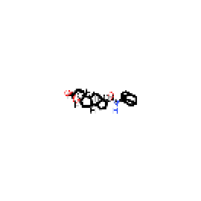 C[C@]12C=CC(=O)O[C@@H]1CC[C@@H]1[C@@H]2CC[C@]2(C)[C@@H](C(=O)NC3C4CC5CC(C4)CC3C5)CC[C@@H]12